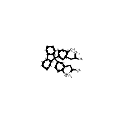 C=C(C)Cc1cc(C2(c3ccc(O)c(CC(=C)C)c3)c3ccccc3-c3ccccc32)ccc1O